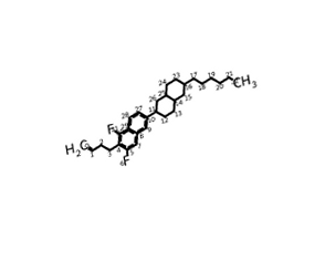 C=CCCc1c(F)cc2cc(C3CCC4CC(CCCCCC)CCC4C3)ccc2c1F